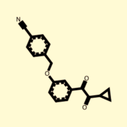 N#Cc1ccc(COc2cccc(C(=O)C(=O)C3CC3)c2)cc1